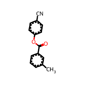 Cc1cccc(C(=O)Oc2ccc(C#N)cc2)c1